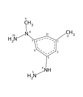 Cc1cc(NN)cc(N(C)N)c1